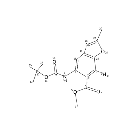 [3H]c1c(C(=O)OC)c(NC(=O)OC(C)(C)C)cc2nc(C)oc12